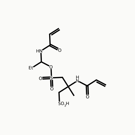 C=CC(=O)NC(CC)OS(=O)(=O)CC(C)(CS(=O)(=O)O)NC(=O)C=C